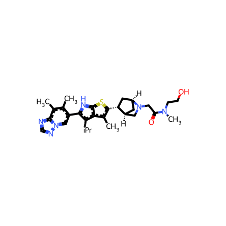 Cc1c(-c2[nH]c3sc([C@@H]4C[C@@H]5C[C@H]4CN5CC(=O)N(C)CCO)c(C)c3c2C(C)C)cn2ncnc2c1C